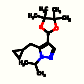 CC(C)n1ncc(B2OC(C)(C)C(C)(C)O2)c1CC1CC1